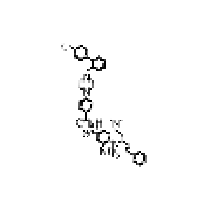 CN(C)CC[C@@H](CSc1ccccc1)Nc1ccc([S+]([O-])NC(=O)c2ccc(N3CCN(Cc4ccccc4-c4ccc(Cl)cc4)CC3)cc2)cc1[N+](=O)[O-]